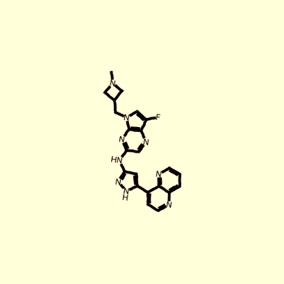 CN1CC(Cn2cc(F)c3ncc(Nc4cc(-c5ccnc6cccnc56)[nH]n4)nc32)C1